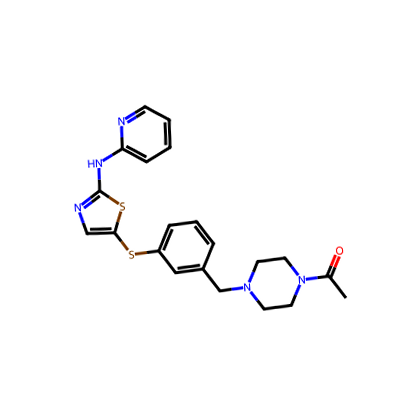 CC(=O)N1CCN(Cc2cccc(Sc3cnc(Nc4ccccn4)s3)c2)CC1